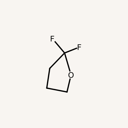 FC1(F)CCCO1